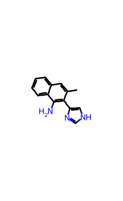 Cc1cc2ccccc2c(N)c1-c1c[nH]cn1